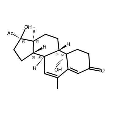 CC(=O)[C@@]1(O)CC[C@H]2[C@@H]3C=C(C)C4=CC(=O)CC[C@]4(CO)[C@H]3CC[C@@]21C